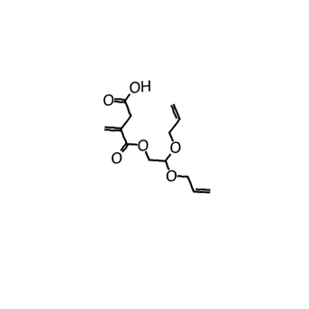 C=CCOC(COC(=O)C(=C)CC(=O)O)OCC=C